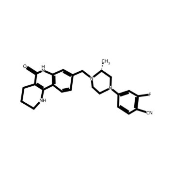 C[C@@H]1CN(c2ccc(C#N)c(F)c2)CCN1Cc1ccc2c3c(c(=O)[nH]c2c1)CCCN3